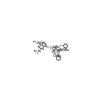 C=CCNc1nc(N)nc2c1ncn2CCOCP(=O)(N[C@@H](Cc1ccccc1)C(=O)OCC(C)C)N[C@@H](Cc1ccccc1)C(=O)OCC(C)C